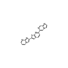 c1cnc2nc(-c3cc4ccc(-c5cn6ccnc6cn5)nc4s3)cn2c1